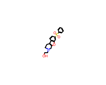 O=S(=O)(c1ccccc1)c1ccc2c3c(oc2c1)CN(CCO)CC3